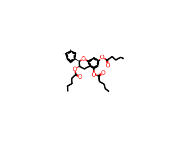 CCCCC(=O)Oc1cc(OC(=O)CCCC)c2c(c1)O[C@H](c1c[c][c][c]c1)[C@H](OC(=O)CCCC)C2